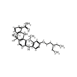 CCN(CC)CCOc1ccc(Nc2cc(Nc3c(C)cccc3C(N)=O)c(C(F)(F)F)cn2)c(OC)c1